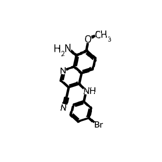 COc1ccc2c(Nc3cccc(Br)c3)c(C#N)cnc2c1N